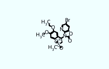 CCOc1cc([C@H](CS(C)(=O)=O)n2c(=O)oc3cc(Br)cnc32)ccc1OC